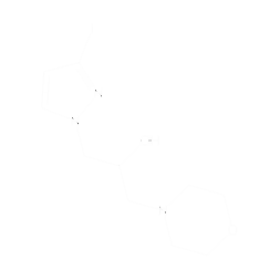 OC(CN1CCOCC1)Cn1ccc(I)n1